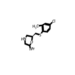 CCCC1CNC[C@@H](CSc2ccc(Cl)cc2C)O1